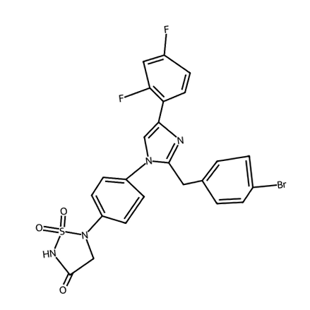 O=C1CN(c2ccc(-n3cc(-c4ccc(F)cc4F)nc3Cc3ccc(Br)cc3)cc2)S(=O)(=O)N1